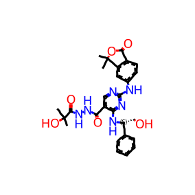 CC(C)(O)C(=O)NNC(=O)c1cnc(Nc2ccc3c(c2)C(C)(C)OC3=O)nc1N[C@H](CO)c1ccccc1